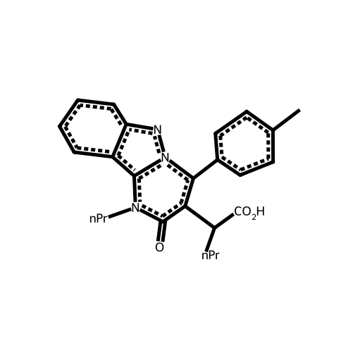 CCCC(C(=O)O)c1c(-c2ccc(C)cc2)n2nc3ccccc3c2n(CCC)c1=O